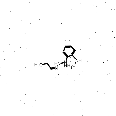 CC/C=N\NNc1ccccc1NC